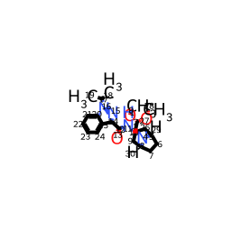 COC(CN1[C@@H]2CC[C@H]1C[C@H](NC(=O)c1nn(C(C)C)c3ccccc13)C2)OC